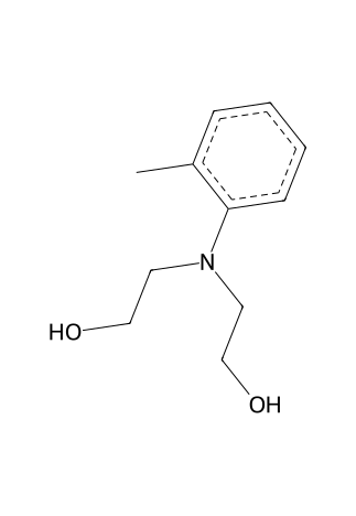 Cc1ccccc1N(CCO)CCO